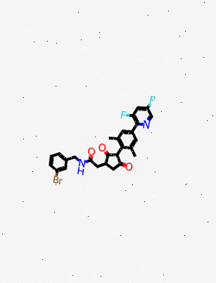 Cc1cc(-c2ncc(F)cc2F)cc(C)c1C1C(=O)CC(CC(=O)NCc2cccc(Br)c2)C1=O